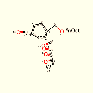 CCCCCCCCO[C]c1ccccc1.[C]=O.[C]=O.[C]=O.[C]=O.[C]=O.[W]